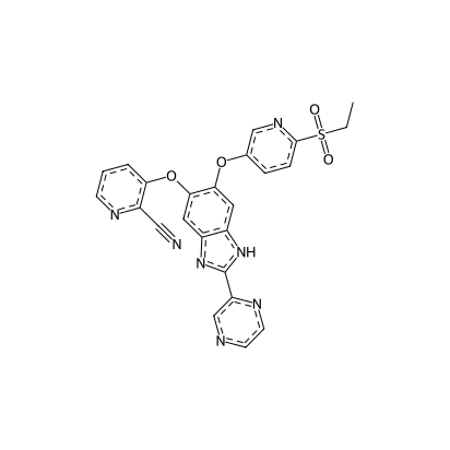 CCS(=O)(=O)c1ccc(Oc2cc3[nH]c(-c4cnccn4)nc3cc2Oc2cccnc2C#N)cn1